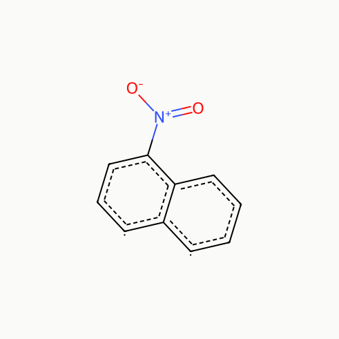 O=[N+]([O-])c1cc[c]c2[c]cccc12